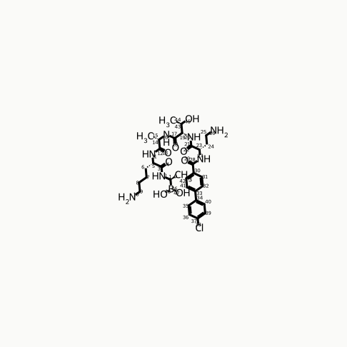 C[C@H](NC(=O)[C@H](CCCCN)NC(=O)[C@H](C)NC(=O)[C@@H](NC(=O)[C@H](CCN)NC(=O)c1ccc(-c2ccc(Cl)cc2)cc1)[C@@H](C)O)B(O)O